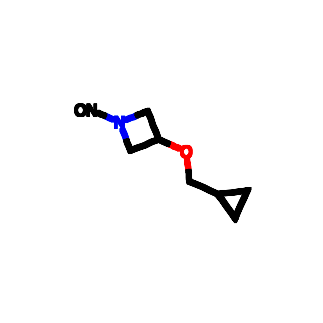 O=NN1CC(OCC2CC2)C1